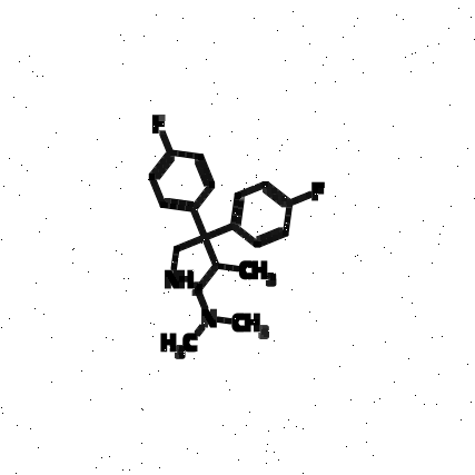 CC(CN(C)C)C(CN)(c1ccc(F)cc1)c1ccc(F)cc1